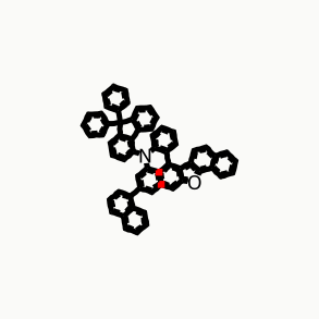 c1ccc(C2(c3ccccc3)c3ccccc3-c3c(N(c4cccc(-c5cccc6ccccc56)c4)c4ccccc4-c4cccc5oc6c7ccccc7ccc6c45)cccc32)cc1